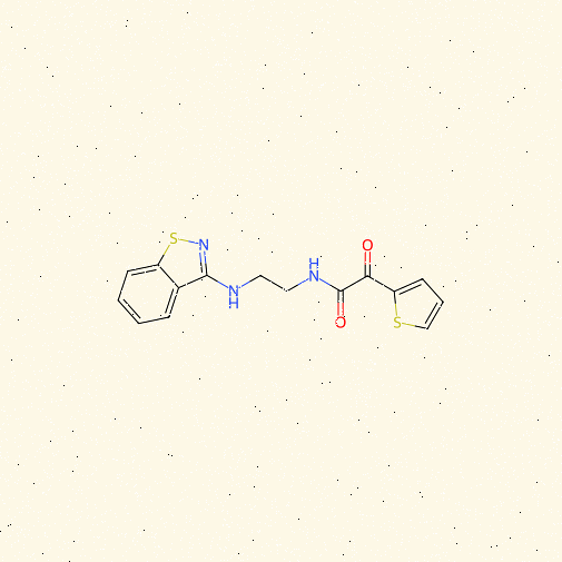 O=C(NCCNc1nsc2ccccc12)C(=O)c1cccs1